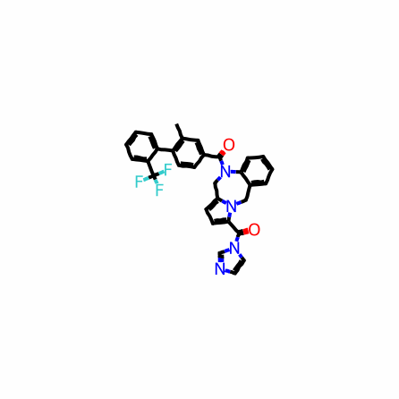 Cc1cc(C(=O)N2Cc3ccc(C(=O)n4ccnc4)n3Cc3ccccc32)ccc1-c1ccccc1C(F)(F)F